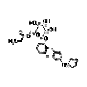 CCC(=O)OC[C@H]1O[C@@H](Oc2ccccc2Cc2ccc(O[C@@H]3CCOC3)cc2F)[C@H](O)[C@@H](O)[C@@H]1O